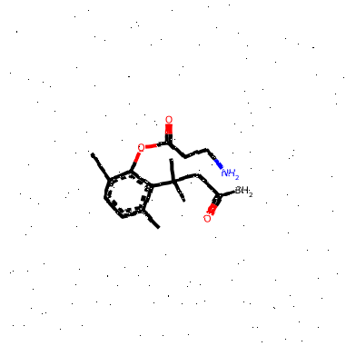 BC(=O)CC(C)(C)c1c(C)ccc(C)c1OC(=O)CCN